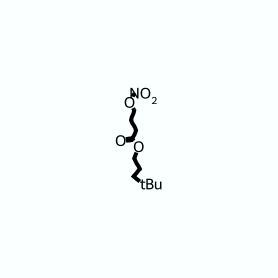 CC(C)(C)CCCOC(=O)CCCO[N+](=O)[O-]